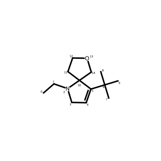 CCN1CC=C(C(C)(C)C)C12CCOC2